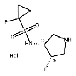 Cl.O=S(=O)(N[C@@H]1CNC[C@@H]1F)C1(F)CC1